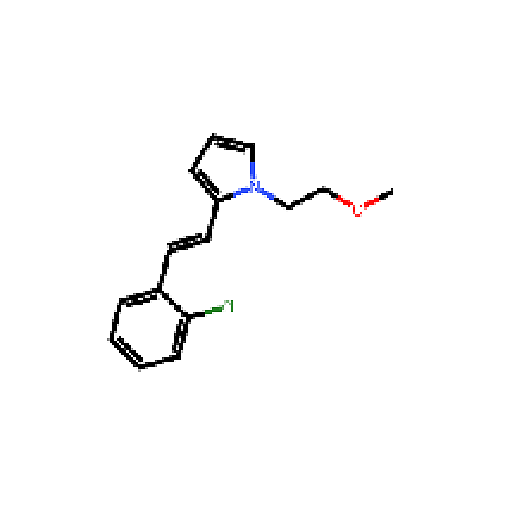 COCCn1cccc1/C=C/c1ccccc1Cl